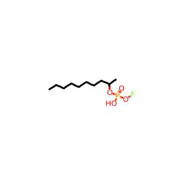 CCCCCCCCC(C)OP(=O)(O)OF